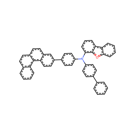 c1ccc(-c2ccc(N(c3ccc(-c4ccc5c(ccc6ccc7ccccc7c65)c4)cc3)c3cccc4c3oc3ccccc34)cc2)cc1